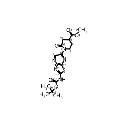 COC(=O)C1CCN(c2cnc3nc(NC(=O)OC(C)(C)C)sc3n2)C(=O)C1